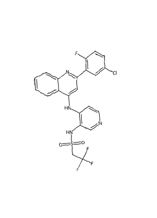 O=S(=O)(CC(F)(F)F)Nc1cnccc1Nc1cc(-c2cc(Cl)ccc2F)nc2ccccc12